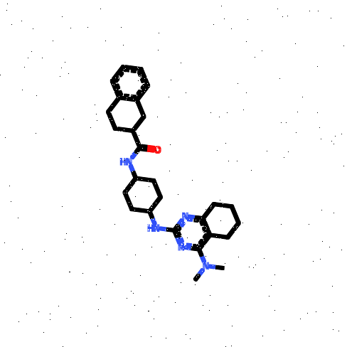 CN(C)c1nc(NC2CCC(NC(=O)C3CCc4ccccc4C3)CC2)nc2c1CCCC2